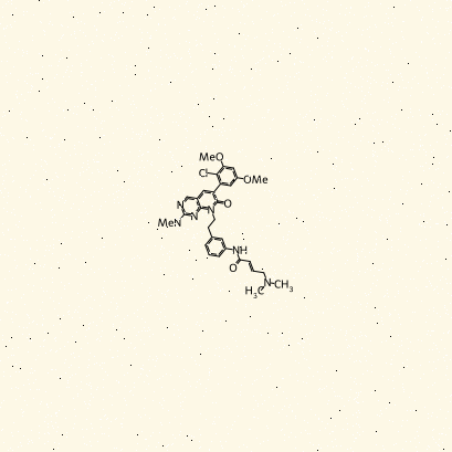 CNc1ncc2cc(-c3cc(OC)cc(OC)c3Cl)c(=O)n(CCc3cccc(NC(=O)C=CCN(C)C)c3)c2n1